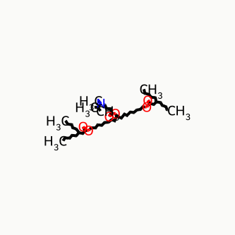 CCCCCC(CCCCC)CC(=O)OCCCCCCCCC(CCCCCCCCOC(=O)CC(CCCCC)CCCCC)OC(=O)CCCN(C)C(C)C